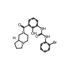 O=C(Nc1ccccc1Br)Nc1cccc(C(=O)N2CCN3CCC[C@H]3C2)c1O